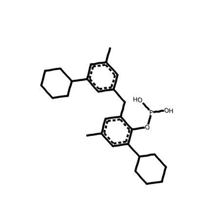 Cc1cc(Cc2cc(C)cc(C3CCCCC3)c2OP(O)O)cc(C2CCCCC2)c1